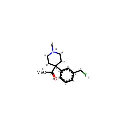 COC(=O)C1(c2cccc(CF)c2)CCN(C)CC1